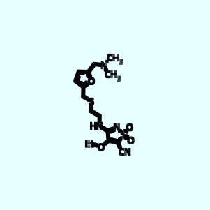 CCOC1=C(C#N)S(=O)(=O)N=C1NCCSCc1ccc(CN(C)C)o1